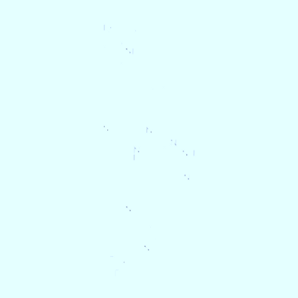 CS(=O)(=O)NCc1cc(F)cc(-c2cncc3[nH]c(-c4n[nH]c5ncc(-c6cncc(CN7CCC(F)(F)C7)c6)cc45)nc23)c1